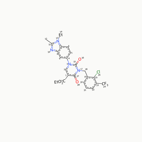 CCOC(=O)c1cn(-c2ccc3c(c2)nc(C)n3CC)c(=O)n(Cc2cccc(C(F)(F)F)c2Cl)c1=O